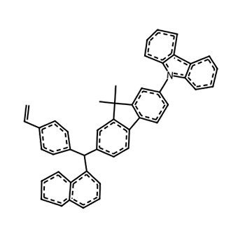 C=Cc1ccc(C(c2ccc3c(c2)C(C)(C)c2cc(-n4c5ccccc5c5ccccc54)ccc2-3)c2cccc3ccccc23)cc1